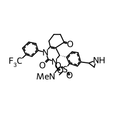 CNC(=O)N1C(=O)N(c2cccc(C(F)(F)F)c2)C2=C(C(=O)CCC2)[C@@H]1c1ccc(C2CN2)cc1S(C)(=O)=O